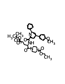 CCOC(=O)N1CCN(C(=O)C(CCC(=O)OC(C)(C)C)NC(=O)c2cc(-c3ccc(OC)cc3)cc(-c3ccccc3)n2)CC1